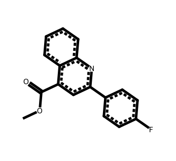 COC(=O)c1cc(-c2ccc(F)cc2)nc2ccccc12